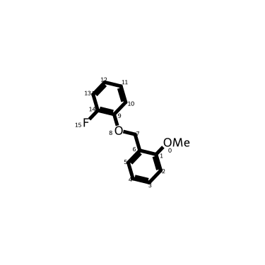 COc1ccccc1COc1ccc[c]c1F